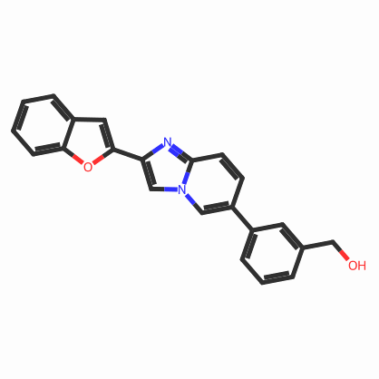 OCc1cccc(-c2ccc3nc(-c4cc5ccccc5o4)cn3c2)c1